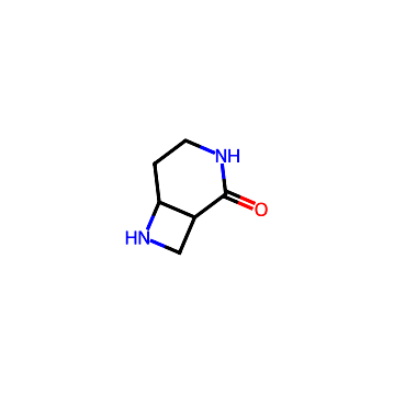 O=C1NCCC2NCC12